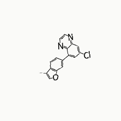 Cc1coc2cc(-c3cc(Cl)cc4nccnc34)ccc12